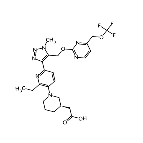 CCc1nc(-c2nnn(C)c2COc2nccc(COC(F)(F)F)n2)ccc1N1CCC[C@H](CC(=O)O)C1